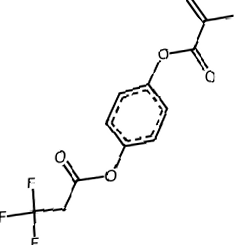 C=C(C)C(=O)Oc1ccc(OC(=O)CC(F)(F)F)cc1